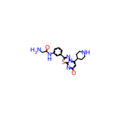 NCC(=O)Nc1cccc(-c2nn3c(C4CCNCC4)cc(=O)nc3s2)c1